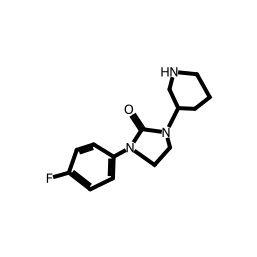 O=C1N(c2ccc(F)cc2)CCN1C1CCCNC1